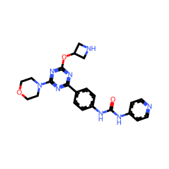 O=C(Nc1ccncc1)Nc1ccc(-c2nc(OC3CNC3)nc(N3CCOCC3)n2)cc1